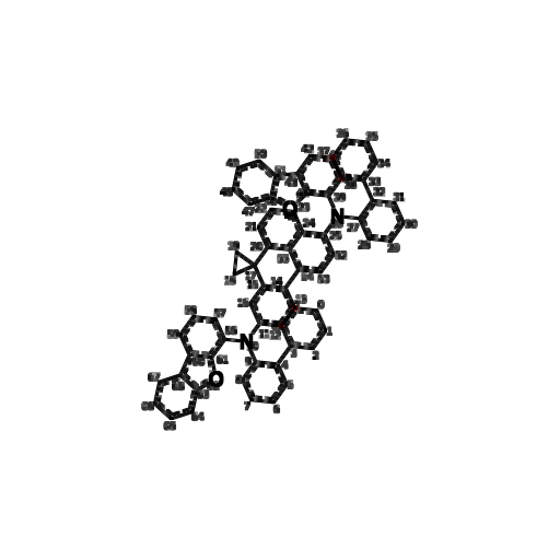 c1ccc(-c2ccccc2N(c2ccc3c(c2)C2(CC2)c2cccc4c(N(c5ccccc5-c5ccccc5)c5cccc6c5oc5ccccc56)ccc-3c24)c2cccc3c2oc2ccccc23)cc1